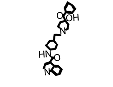 O=C(NC1CCC(CCN2CCC(O)(C(=O)c3ccccc3)CC2)CC1)c1ccnc2ccccc12